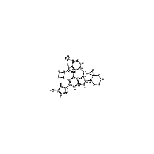 C[C@@H](Nc1nc(-c2noc(=O)[nH]2)nc2nc(N3CCCCC34CC4)n(Cc3ccc(C(F)(F)F)cc3)c12)C1CCC1